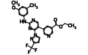 CCOC(=O)c1cncc(-c2cnc(Nc3cc(C)cc(OC)c3)nc2-n2ccc(C(F)(F)F)n2)c1